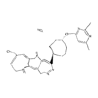 Cc1cc(O[C@H]2CC[C@H](C3=c4[nH]c5c(c4CN=N3)NCC=C(Cl)C=5)CC2)nc(C)n1.Cl